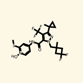 CSc1cc(NC(=O)c2c(C(F)(F)F)c(C3(C)CC3)nn2CC2(C)CC(F)(F)C2)cc[n+]1O